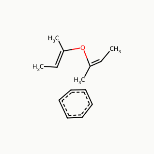 CC=C(C)OC(C)=CC.c1ccccc1